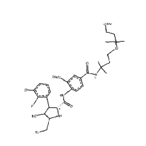 COCCC(C)(C)OCCC(C)(C)NC(=O)c1ccc(NC(=O)[C@@H]2NC(CC(C)(C)C)C(C#N)C2c2cccc(Cl)c2F)c(OC)c1